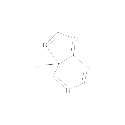 ClC12C=NC=NC1=NC=N2